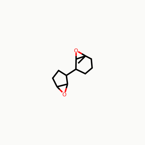 CC12CCCC(C3CCC4OC43)C1O2